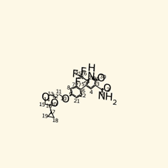 NC(=O)c1cc(-c2ccc(OC[C@H]3COC[C@H](C4CC4)O3)cc2)c(C(F)(F)F)[nH]c1=O